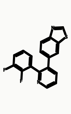 Fc1cccc(-c2ncccc2-c2ccc3ncsc3c2)c1F